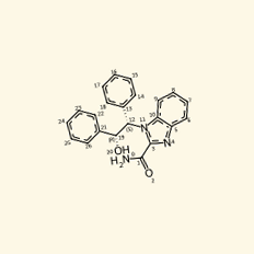 NC(=O)c1nc2ccccc2n1[C@@H](c1ccccc1)[C@H](O)c1ccccc1